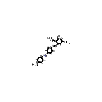 COc1c(C)cc(C)cc1/N=N/c1ccc(/N=N/c2ccc(N)cc2)cc1